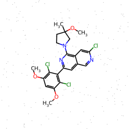 COc1cc(OC)c(Cl)c(-c2cc3cnc(Cl)cc3c(N3CCC(C)(OC)C3)n2)c1Cl